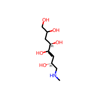 CNC[C@H](O)C=C(O)[C@H](O)CC(O)CO